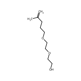 C=C(C)CCCOCCOCCO